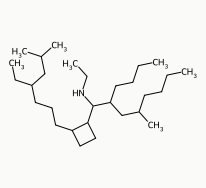 CCCCC(C)CC(CCCC)C(NCC)C1CCC1CCCC(CC)CC(C)C